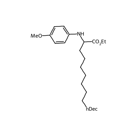 CCCCCCCCCCCCCCCCCC(Nc1ccc(OC)cc1)C(=O)OCC